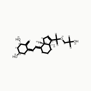 C=C1/C(=C\C=C2/CCC[C@]3(C)C(C(C)(C)OCC(C)(C)O)=CC[C@@H]23)C[C@@H](O)C[C@@H]1O